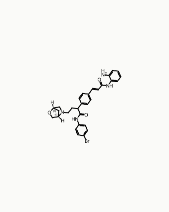 Nc1ccccc1NC(=O)C=Cc1ccc(C(CCN2C[C@@H]3C[C@H]2CO3)C(=O)Nc2ccc(Br)cc2)cc1